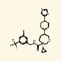 O=C(NCc1cc(F)cc(C(F)(F)F)c1)[C@@]1(C2CC2)CCC(N2CCC(c3cncs3)CC2)COC1